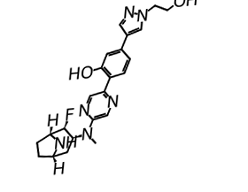 CN(c1cnc(-c2ccc(-c3cnn(CCO)c3)cc2O)cn1)[C@H]1C[C@@H]2CC[C@@H](N2)[C@H]1F